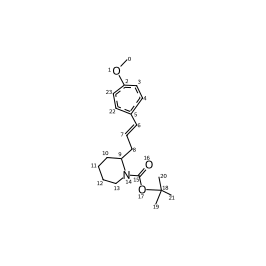 COc1ccc(C=CCC2CCCCN2C(=O)OC(C)(C)C)cc1